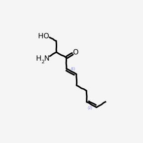 C/C=C\CC/C=C/C(=O)C(N)CO